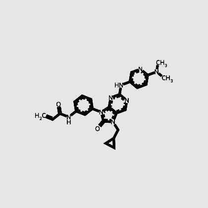 C=CC(=O)Nc1cccc(-n2c(=O)n(CC3CC3)c3cnc(Nc4ccc(N(C)C)nc4)nc32)c1